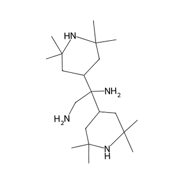 CC1(C)CC(C(N)(CN)C2CC(C)(C)NC(C)(C)C2)CC(C)(C)N1